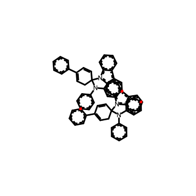 C1=CC(N(c2ccccc2)c2ccccc2)(n2c3ccccc3c3cc4c5ccccc5n(C5(N(c6ccccc6)c6ccccc6)C=CC(c6ccccc6)=CC5)c4cc32)CC=C1c1ccccc1